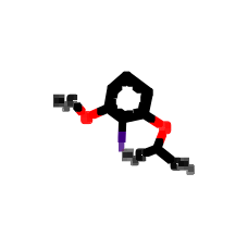 COc1cccc(OC(C)C)c1I